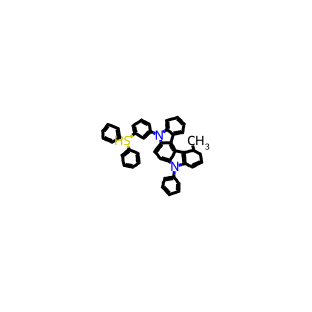 CC1CC=Cc2c1c1c3c4ccccc4n(-c4cccc([SH](c5ccccc5)c5ccccc5)c4)c3ccc1n2-c1ccccc1